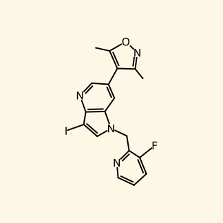 Cc1noc(C)c1-c1cnc2c(I)cn(Cc3ncccc3F)c2c1